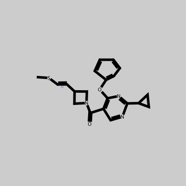 CS/C=C/C1CN(C(=O)c2cnc(C3CC3)nc2Oc2ccccc2)C1